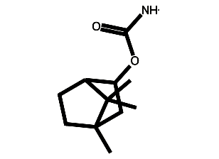 CC12CCC(C(OC([NH])=O)C1)C2(C)C